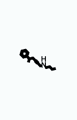 CCCCNCC#CCC(C)c1ccccc1